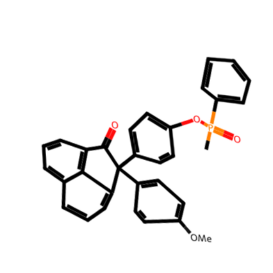 COc1ccc(C2(c3ccc(OP(C)(=O)c4ccccc4)cc3)C(=O)c3cccc4cccc2c34)cc1